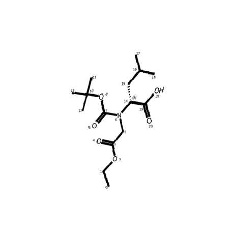 CCOC(=O)CN(C(=O)OC(C)(C)C)[C@H](CC(C)C)C(=O)O